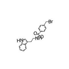 O=S(=O)(NCCc1c[nH]c2ccccc12)c1ccc(CBr)cc1